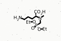 CCOP(=O)(CN(C)[C@@H](CCCN)C(=O)O)OCC